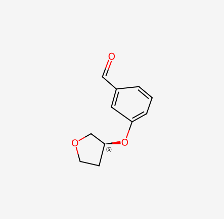 O=Cc1cccc(O[C@H]2CCOC2)c1